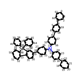 c1ccc(-c2ccc(-c3ccc(N(c4ccc(-c5ccccc5)cc4)c4ccc(-c5ccc6c(c5)[Si](c5ccccc5)(c5ccccc5)c5ccccc5-6)cc4)cc3)cc2)cc1